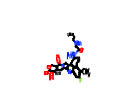 CC[C@@]1(O)C(=O)OCc2c1cc1n(c2=O)Cc2c-1nc1cc(F)c(C)c3c1c2[C@@H](NC(=O)CNCCC(C)(C)C)CC3